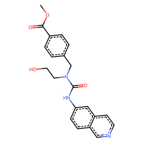 COC(=O)c1ccc(CN(CCO)C(=O)Nc2ccc3cnccc3c2)cc1